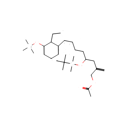 C=C(COC(C)=O)CC(CC[C@@H](C)[C@H]1CCC2C(O[Si](C)(C)C)CCC[C@@]21C)O[Si](C)(C)C(C)(C)C